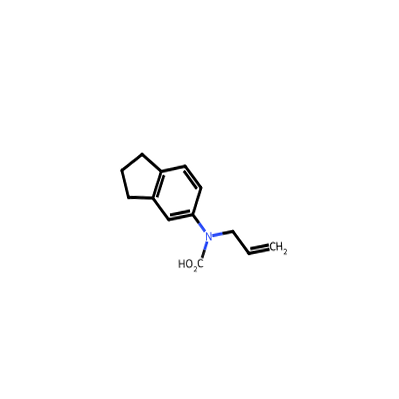 C=CCN(C(=O)O)c1ccc2c(c1)CCC2